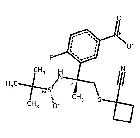 CC(C)(C)[S@@+]([O-])N[C@@](C)(CSC1(C#N)CCC1)c1cc([N+](=O)[O-])ccc1F